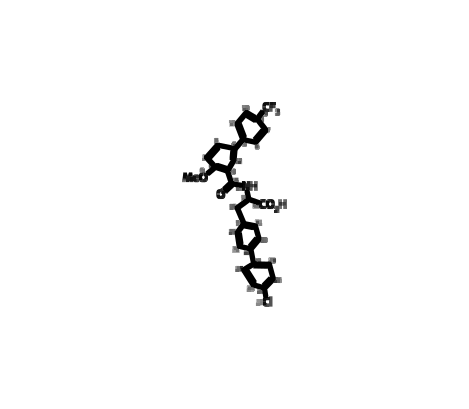 COc1ccc(-c2ccc(C(F)(F)F)cc2)cc1C(=O)NC(Cc1ccc(-c2ccc(Cl)cc2)cc1)C(=O)O